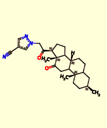 C[C@H]1CC[C@@]2(C)C(CC[C@@H]3C2CC(=O)[C@@]2(C)C3CC[C@@H]2C(=O)Cn2cc(C#N)cn2)C1